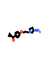 N[C@@H]1CCN(CCCOc2ccc(C(=O)C3CC3)cc2)C1